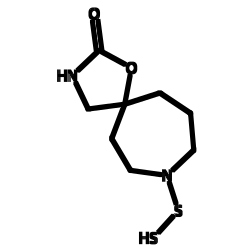 O=C1NCC2(CCCN(SS)CC2)O1